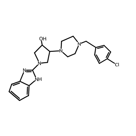 OC1CN(c2nc3ccccc3[nH]2)CC1N1CCN(Cc2ccc(Cl)cc2)CC1